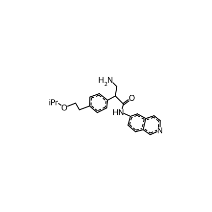 CC(C)OCCc1ccc(C(CN)C(=O)Nc2ccc3cnccc3c2)cc1